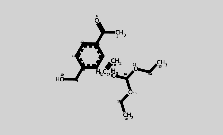 C=C.CC(=O)c1ccc(CO)cc1.CCOC(C)OCC